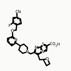 N#Cc1ccc(COc2cccc(C3CCN(Cc4nc5sc(C(=O)O)cn5c4CC4CCO4)CC3)n2)c(F)c1